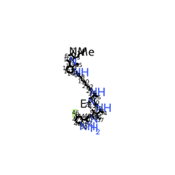 C=CCCC(C(=C)NC)n1c(=C)c2cccc(NCCCCCCCNC(=C)CN(CC)CCNC(=C)C3=C(C)NC(/C=C(\C)C4=CC(F)=CCC4N)C3C)c2c1=C